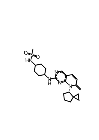 C=C1C=Cc2cnc(NC3CCC(NS(C)(=O)=O)CC3)nc2N1[C@H]1CCCC12CC2